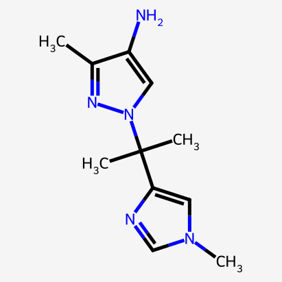 Cc1nn(C(C)(C)c2cn(C)cn2)cc1N